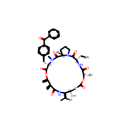 C=C1OC(=O)[C@H](Cc2ccc(C(=O)c3ccccc3)cc2)N(C)C(=O)[C@@H]2CCCN2C(=O)[C@H](CC(C)C)NC(=O)[C@H](C(C)C)OC(=O)C[C@H](O)/C(=C(/C)CC)NC(=O)C1=C